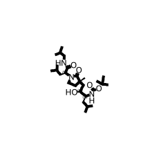 CC(C)CNC(=O)[C@H](CC(C)C)N1CC[C@@](C)(C[C@H](O)[C@H](CC(C)C)NC(=O)OC(C)(C)C)C1=O